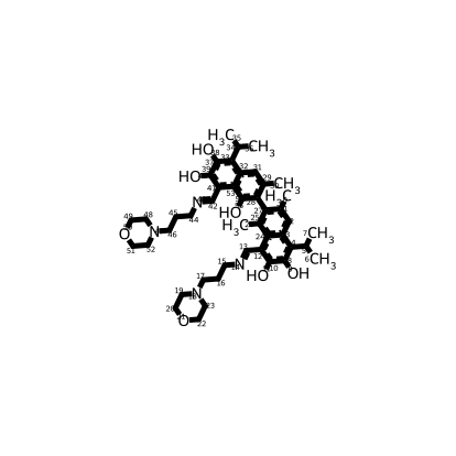 Cc1cc2c(C(C)C)c(O)c(O)c(/C=N/CCCN3CCOCC3)c2c(C)c1-c1c(C)cc2c(C(C)C)c(O)c(O)c(/C=N/CCCN3CCOCC3)c2c1O